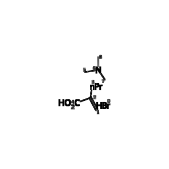 Br.C=C(CCC)C(=O)O.CN(C)C